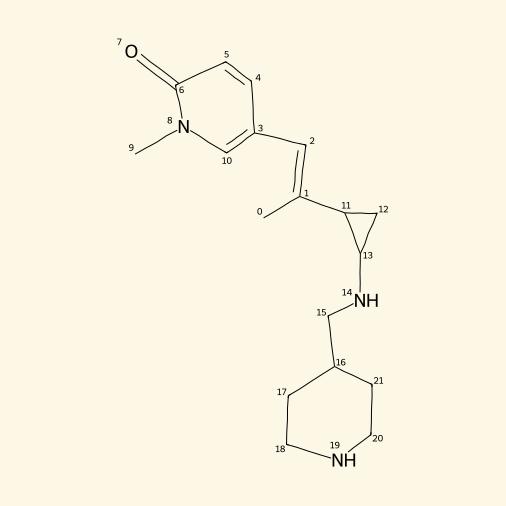 C/C(=C\c1ccc(=O)n(C)c1)C1CC1NCC1CCNCC1